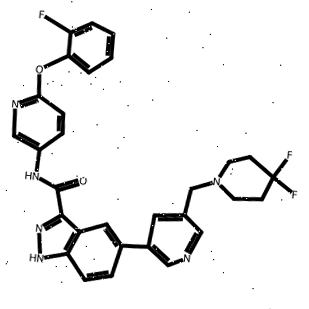 O=C(Nc1ccc(Oc2ccccc2F)nc1)c1n[nH]c2ccc(-c3cncc(CN4CCC(F)(F)CC4)c3)cc12